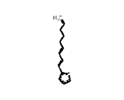 C=CCCC/C=C/C=C/c1cccs1